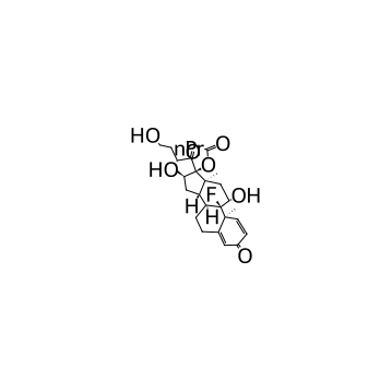 CCCC(=O)O[C@]1(C(=O)C(O)CCO)[C@H](C)C[C@H]2[C@@H]3CCC4=CC(=O)C=C[C@]4(C)[C@@]3(F)[C@@H](O)C[C@@]21C